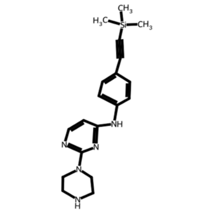 C[Si](C)(C)C#Cc1ccc(Nc2ccnc(N3CCNCC3)n2)cc1